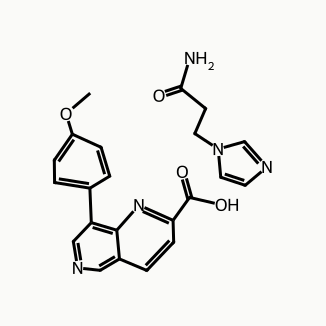 COc1ccc(-c2cncc3ccc(C(=O)O)nc23)cc1.NC(=O)CCn1ccnc1